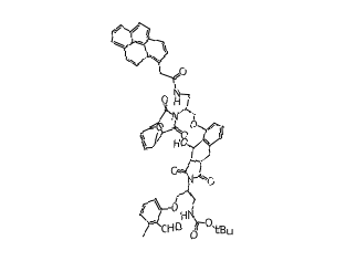 Cc1cccc(OCC(CNC(=O)OC(C)(C)C)N2C(=O)C3Cc4cccc(OCC(CNC(=O)Cc5ccc6ccc7cccc8ccc5c6c78)N5C(=O)C6C7C=CC(O7)C6C5=O)c4C(O)C3C2=O)c1C=O